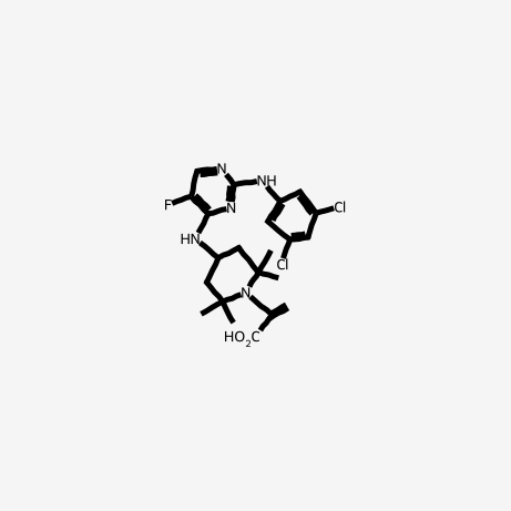 C=C(C(=O)O)N1C(C)(C)CC(Nc2nc(Nc3cc(Cl)cc(Cl)c3)ncc2F)CC1(C)C